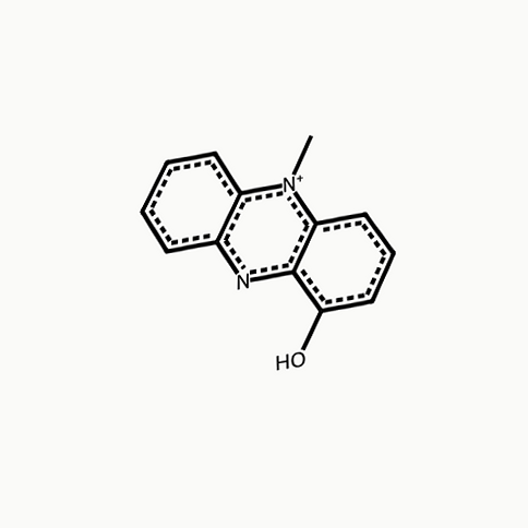 C[n+]1c2ccccc2nc2c(O)cccc21